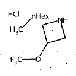 CCCCCCC.Cl.FC(F)(F)OC1CNC1